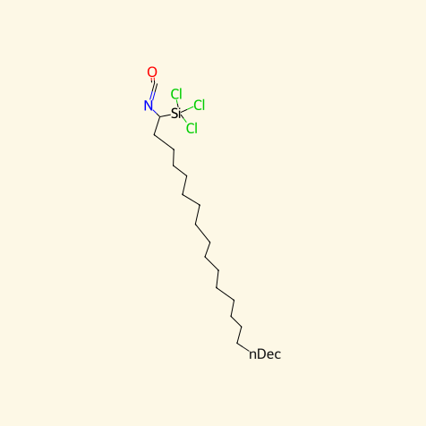 CCCCCCCCCCCCCCCCCCCCCCCCCC(N=C=O)[Si](Cl)(Cl)Cl